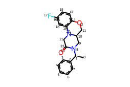 C[C@@H](c1ccccc1)N1CC2COc3ccc(F)cc3N2CC1=O